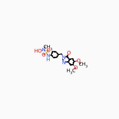 COc1cc2ncn(Cc3ccc(NS(=O)(=O)N(C)O)cc3)c(=O)c2cc1OC